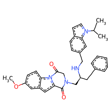 COc1ccc2c(c1)cc1n2C(=O)CN(C[C@H](Cc2ccccc2)NCc2ccc3ccn(C(C)C)c3c2)C1=O